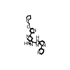 c1cncc(-c2nccc3[nH]c(-c4n[nH]c5cnc(-c6cncc(OCCN7CCCC7)c6)cc45)nc23)c1